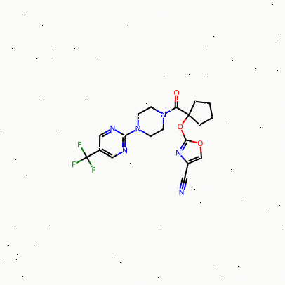 N#Cc1coc(OC2(C(=O)N3CCN(c4ncc(C(F)(F)F)cn4)CC3)CCCC2)n1